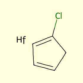 ClC1=CC=CC1.[Hf]